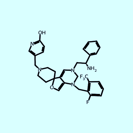 N[C@@H](CN1C=C2C(=COC23CCN(Cc2ccc(O)nc2)CC3)N(Cc2c(F)cccc2C(F)(F)F)C1)c1ccccc1